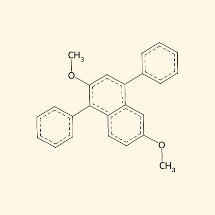 COc1ccc2c(-c3ccccc3)c(OC)cc(-c3ccccc3)c2c1